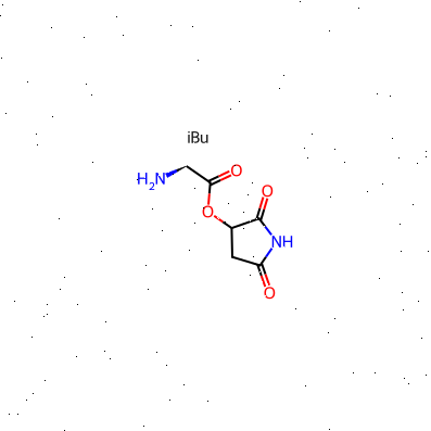 CC[C@H](C)[C@H](N)C(=O)OC1CC(=O)NC1=O